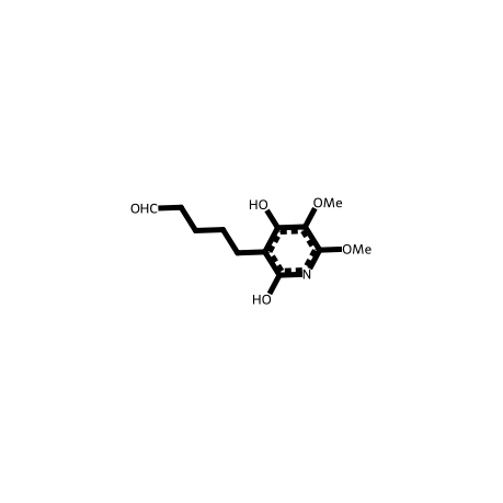 COc1nc(O)c(CCCCC=O)c(O)c1OC